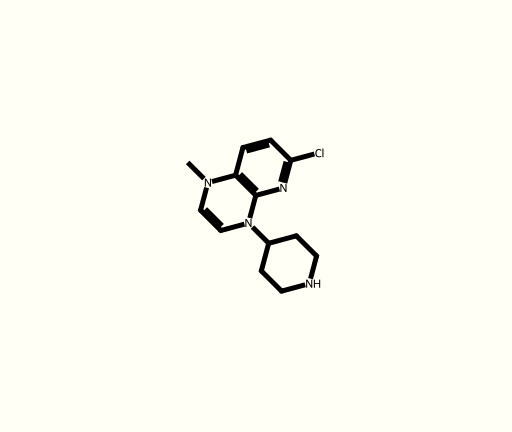 CN1C=CN(C2CCNCC2)c2nc(Cl)ccc21